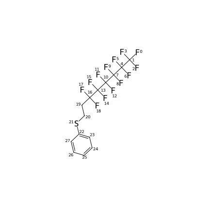 FC(F)(F)C(F)(F)C(F)(F)C(F)(F)C(F)(F)C(F)(F)CCSc1ccccc1